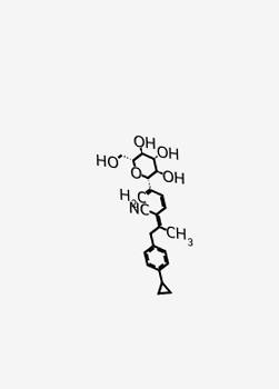 C=C(/C=C\C(C#N)=C(/C)Cc1ccc(C2CC2)cc1)[C@@H]1O[C@H](CO)[C@@H](O)[C@H](O)[C@H]1O